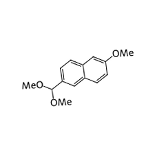 COc1ccc2cc(C(OC)OC)ccc2c1